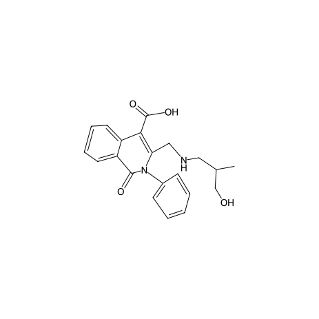 CC(CO)CNCc1c(C(=O)O)c2ccccc2c(=O)n1-c1ccccc1